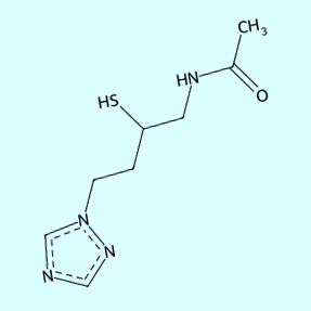 CC(=O)NCC(S)CCn1cncn1